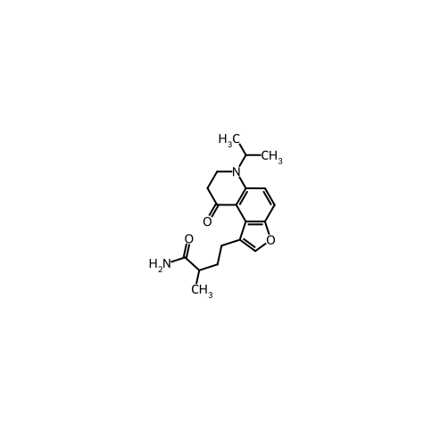 CC(CCc1coc2ccc3c(c12)C(=O)CCN3C(C)C)C(N)=O